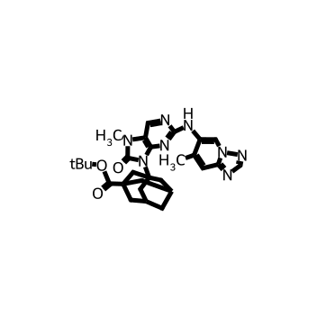 Cc1cc2ncnn2cc1Nc1ncc2c(n1)n(C13CC4CC(CC(C(=O)OC(C)(C)C)(C4)C1)C3)c(=O)n2C